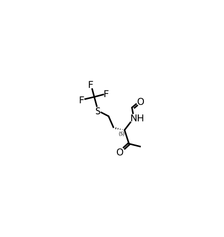 CC(=O)[C@H](CCSC(F)(F)F)NC=O